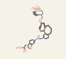 O=C(O)C[C@@H]1COc2cc(NCc3ccc4c(c3)-c3ccc(OCC5CCS(=O)(=O)CC5)cc3CCC4)ccc21